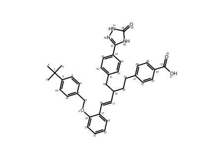 CC(C)(C)c1ccc(COc2ccccc2C=CC(CCc2ccc(C(=O)O)cc2)Cc2ccc(-c3n[nH]c(=O)[nH]3)cc2)cc1